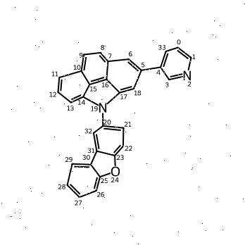 c1cncc(-c2cc3ccc4cccc5c4c3c(c2)n5-c2ccc3oc4ccccc4c3c2)c1